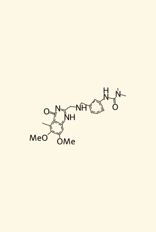 COc1cc2[nH]c(CNCc3cccc(NC(=O)N(C)C)c3)nc(=O)c2c(C)c1OC